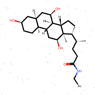 CC(=O)CNC(=O)CC[C@@H](C)[C@H]1CC[C@H]2[C@@H]3[C@H](O)C[C@@H]4C[C@H](O)CC[C@]4(C)[C@H]3C[C@H](O)[C@]12C